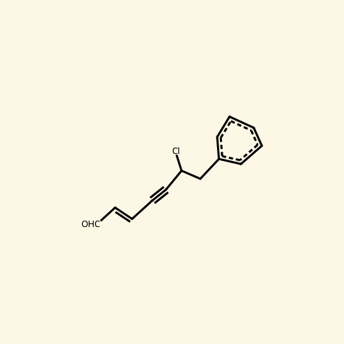 O=CC=CC#CC(Cl)Cc1ccccc1